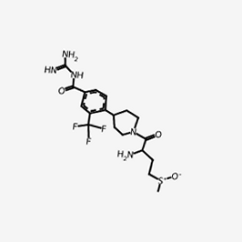 C[S+]([O-])CCC(N)C(=O)N1CCC(c2ccc(C(=O)NC(=N)N)cc2C(F)(F)F)CC1